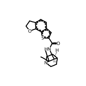 CC1(C)[C@@H](NC(=O)c2cc3ccc4c(c3s2)OCC4)C2CCN1CC2